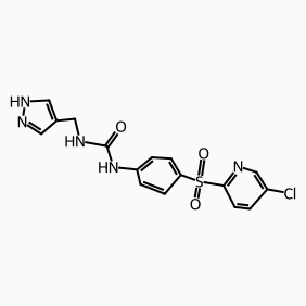 O=C(NCc1cn[nH]c1)Nc1ccc(S(=O)(=O)c2ccc(Cl)cn2)cc1